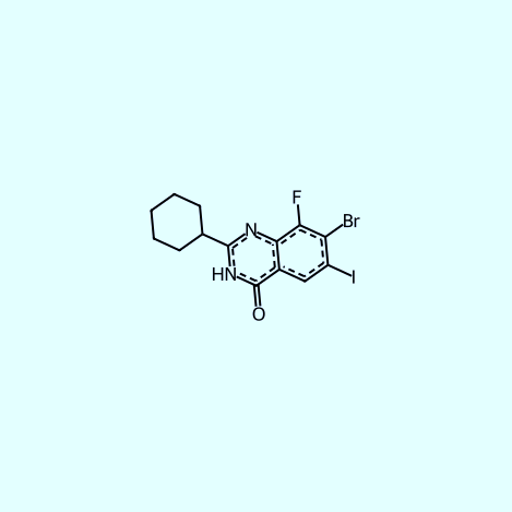 O=c1[nH]c(C2CCCCC2)nc2c(F)c(Br)c(I)cc12